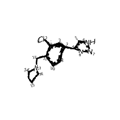 Clc1cc(-c2c[nH]nn2)ccc1CN1CCC1